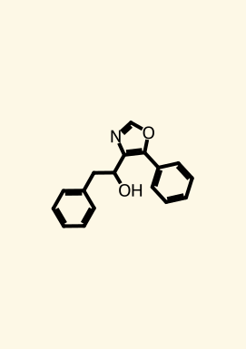 OC(Cc1ccccc1)c1ncoc1-c1ccccc1